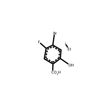 CCI.O=C(O)c1cc(F)c(Br)cc1O